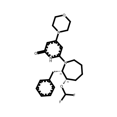 O=c1cc(N2CCOCC2)cc(N2CCCC[C@H](OC(F)F)[C@@H]2Cc2ccccc2)[nH]1